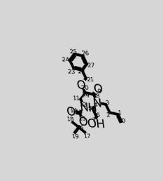 C=CCCN(CCO)C(=O)[C@@H](CNC(=O)OC(C)(C)C)OCc1ccccc1